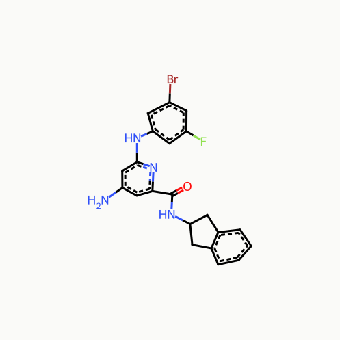 Nc1cc(Nc2cc(F)cc(Br)c2)nc(C(=O)NC2Cc3ccccc3C2)c1